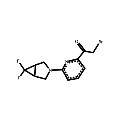 O=C(CBr)c1cccc(N2CC3C(C2)C3(F)F)n1